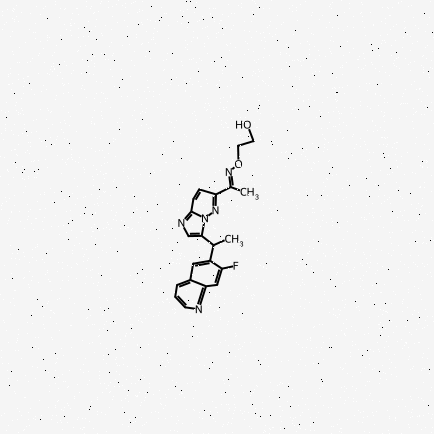 CC(=NOCCO)c1ccc2ncc(C(C)c3cc4cccnc4cc3F)n2n1